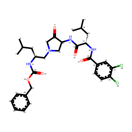 CC(C)C[C@@H](CN1CC(=O)C(NC(=O)[C@H](CC(C)C)NC(=O)c2ccc(Cl)c(Cl)c2)C1)NC(=O)OCc1ccccc1